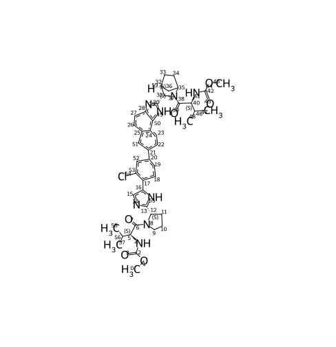 COC(=O)N[C@H](C(=O)N1CCC[C@H]1c1ncc(-c2ccc(-c3ccc4c(ccc5nc([C@@H]6[C@H]7CCC(C7)N6C(=O)[C@@H](NC(=O)OC)C(C)C)[nH]c54)c3)cc2Cl)[nH]1)C(C)C